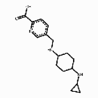 O=C(O)c1ccc(CNC2CCC(NC3CC3)CC2)cn1